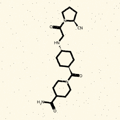 N#C[C@@H]1CCCN1C(=O)CN[C@H]1CC[C@H](C(=O)N2CCC(C(N)=O)CC2)CC1